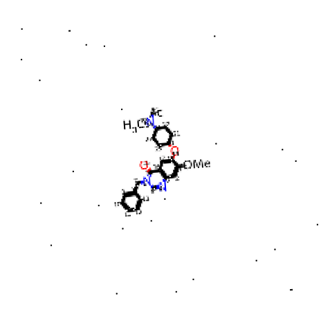 COc1cc2ncn(Cc3ccccc3)c(=O)c2cc1OC1CCC(N(C)C(C)=O)CC1